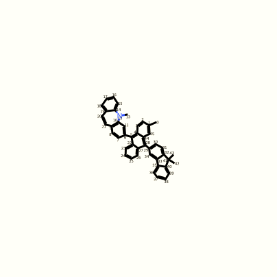 Cc1ccc2c(-c3ccc4c(c3)N(C)c3ccccc3C=C4)c3ccccc3c(-c3ccc4c(c3)-c3ccccc3C4(C)C)c2c1